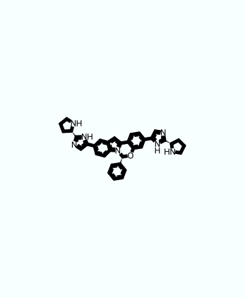 c1ccc([C@H]2Oc3cc(-c4cnc([C@@H]5CCCN5)[nH]4)ccc3-c3cc4cc(-c5cnc([C@@H]6CCCN6)[nH]5)ccc4n32)cc1